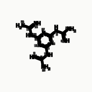 N=C(N)Nc1nc(NC(=N)N)nc(NC(=N)N)n1